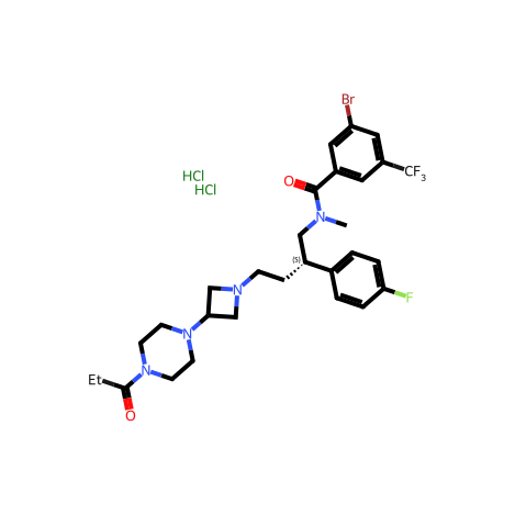 CCC(=O)N1CCN(C2CN(CC[C@H](CN(C)C(=O)c3cc(Br)cc(C(F)(F)F)c3)c3ccc(F)cc3)C2)CC1.Cl.Cl